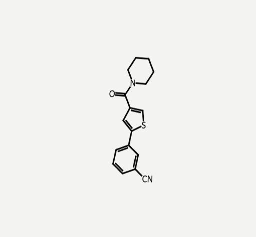 N#Cc1cccc(-c2cc(C(=O)N3CCCCC3)cs2)c1